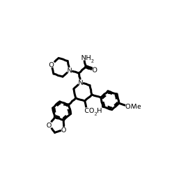 COc1ccc(C2CN(C(C(N)=O)N3CCOCC3)CC(c3ccc4c(c3)OCO4)C2C(=O)O)cc1